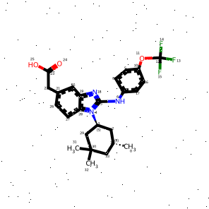 C[C@H]1C[C@H](n2c(Nc3ccc(OC(F)(F)F)cc3)nc3cc(CC(=O)O)ccc32)CC(C)(C)C1